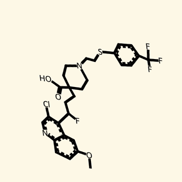 COc1ccc2ncc(Cl)c(C(F)CCC3(C(=O)O)CCN(CCSc4ccc(C(F)(F)F)cc4)CC3)c2c1